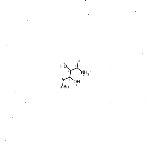 CCCCCC(O)C(O)C(C)N